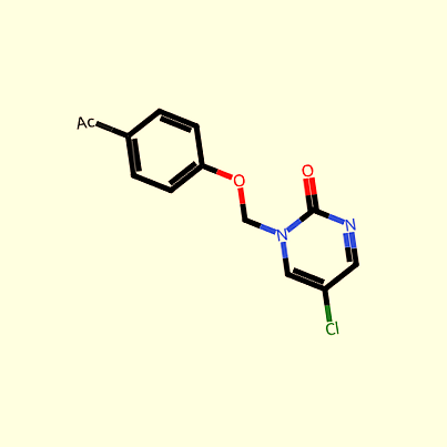 CC(=O)c1ccc(OCn2cc(Cl)cnc2=O)cc1